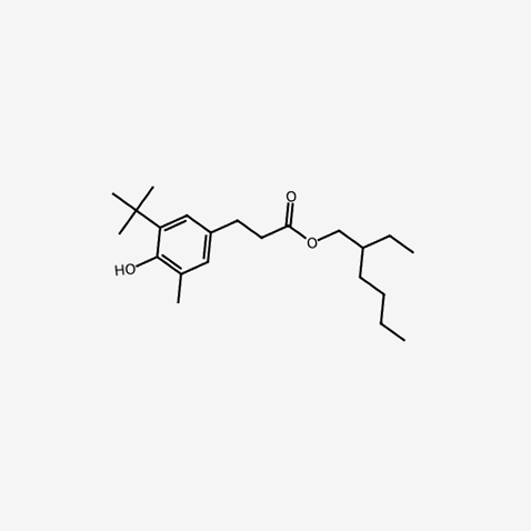 CCCCC(CC)COC(=O)CCc1cc(C)c(O)c(C(C)(C)C)c1